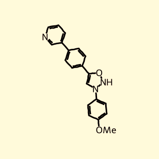 COc1ccc(N2C=C(c3ccc(-c4cccnc4)cc3)ON2)cc1